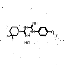 Cl.N=C(NC(=N)N1CCCC(F)(F)C1)Nc1ccc(OC(F)(F)F)cc1